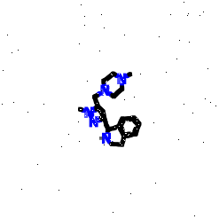 CN1CCN(Cc2cc(C3[N]CCc4ccccc43)nn2C)CC1